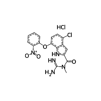 CN(C(=N)N)C(=O)c1cc2c(Cl)ccc(Oc3ccccc3[N+](=O)[O-])c2[nH]1.Cl